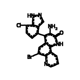 Nc1c(-c2ccc(Cl)c3[nH]ncc23)c2cc(Br)c3ncccc3c2[nH]c1=O